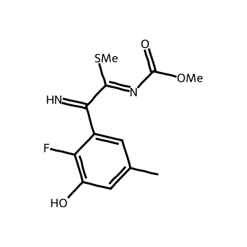 COC(=O)N=C(SC)C(=N)c1cc(C)cc(O)c1F